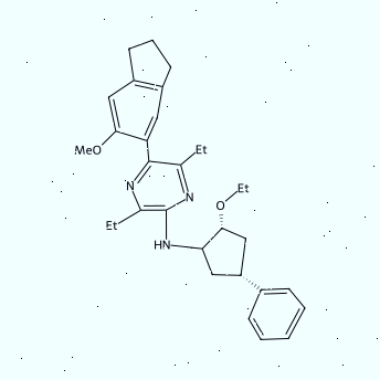 CCO[C@@H]1C[C@H](c2ccccc2)CC1Nc1nc(CC)c(-c2cc3c(cc2OC)CCC3)nc1CC